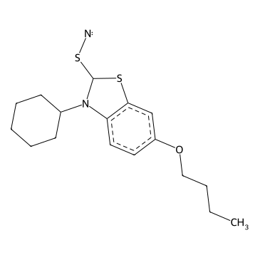 CCCCOc1ccc2c(c1)SC(S[N])N2C1CCCCC1